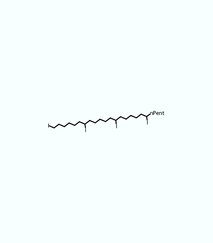 CCCCCC(I)CCCCCC(I)CCCCCC(I)CCCCCCI